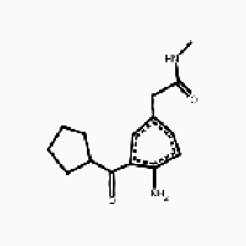 CNC(=O)Cc1ccc(N)c(C(=O)C2CCCC2)c1